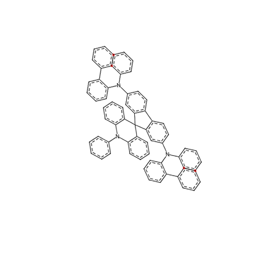 c1ccc(-c2ccccc2N(c2ccccc2)c2ccc3c(c2)C2(c4cc(N(c5ccccc5)c5ccccc5-c5ccccc5)ccc4-3)c3ccccc3N(c3ccccc3)c3ccccc32)cc1